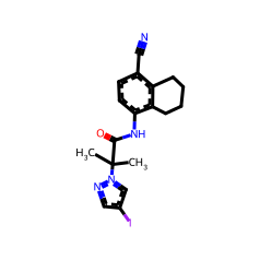 CC(C)(C(=O)Nc1ccc(C#N)c2c1CCCC2)n1cc(I)cn1